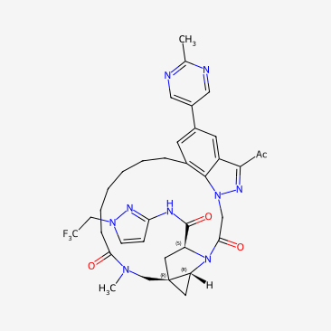 CC(=O)c1nn2c3c(cc(-c4cnc(C)nc4)cc13)CCCCCCC(=O)N(C)C[C@@]13C[C@@H](C(=O)Nc4ccn(CC(F)(F)F)n4)N(C(=O)C2)[C@@H]1C3